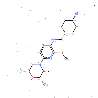 COc1nc(N2C[C@@H](C)O[C@@H](C)C2)ccc1NC[C@H]1CC[C@H](N)CC1